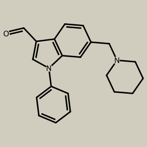 O=Cc1cn(-c2ccccc2)c2cc(CN3CCCCC3)ccc12